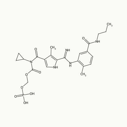 CCCNC(=O)c1ccc(C)c(NC(=N)c2[nH]cc(C(=O)N(C(=O)OCOP(=O)(O)O)C3CC3)c2C)c1